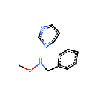 CONCc1ccccc1.c1cncnc1